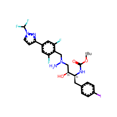 CC(C)(C)OC(=O)N[C@@H](Cc1ccc(I)cc1)[C@@H](O)CN(N)Cc1c(F)cc(-c2ccn(C(F)F)n2)cc1F